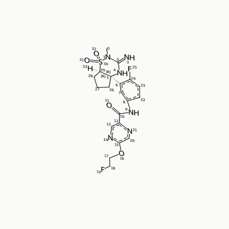 CN1C(=N)N[C@@]2(c3cc(NC(=O)c4cnc(OCCF)cn4)ccc3F)CCC[C@H]2S1(=O)=O